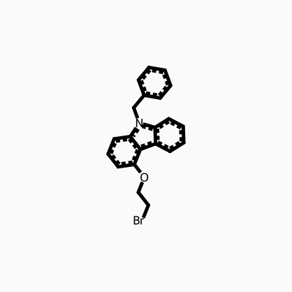 BrCCOc1cccc2c1c1ccccc1n2Cc1ccccc1